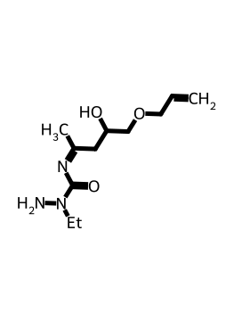 C=CCOCC(O)CC(C)=NC(=O)N(N)CC